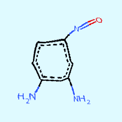 Nc1ccc(N=O)cc1N